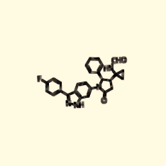 O=CNC1([C@H]2CC(=O)N(c3ccc4c(-c5ccc(F)cc5)n[nH]c4c3)[C@H]2c2ccccc2)CC1